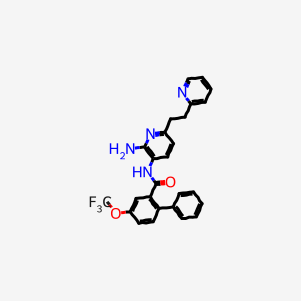 Nc1nc(CCc2ccccn2)ccc1NC(=O)c1cc(OC(F)(F)F)ccc1-c1ccccc1